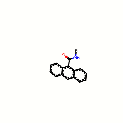 CCNC(=O)c1c2ccccc2cc2ccccc12